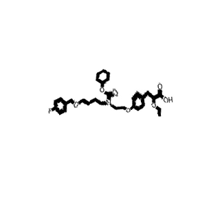 CCOC(Cc1ccc(OCCN(CCCCOCc2ccc(F)cc2)C(=O)OC2CCCCC2)cc1)C(=O)O